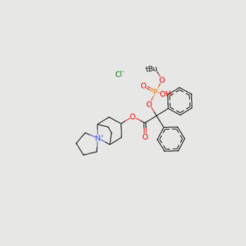 CC(C)(C)OP(=O)(O)OC(C(=O)OC1CC2CCC(C1)[N+]21CCCC1)(c1ccccc1)c1ccccc1.[Cl-]